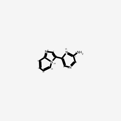 Nc1cncc(-c2cnc3ccccn23)n1